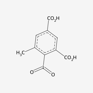 Cc1cc(C(=O)O)cc(C(=O)O)c1I(=O)=O